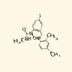 CNC(=O)N(O)c1ccc(I)cc1COc1ccc(C)cc1C